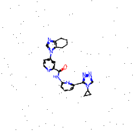 O=C(Nc1cccc(-c2nncn2C2CC2)n1)c1cc(-n2cnc3c2CCCC3)ccn1